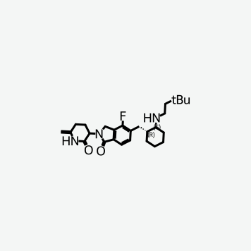 C=C1CCC(N2Cc3c(ccc(C[C@H]4CCCC[C@@H]4NCCC(C)(C)C)c3F)C2=O)C(=O)N1